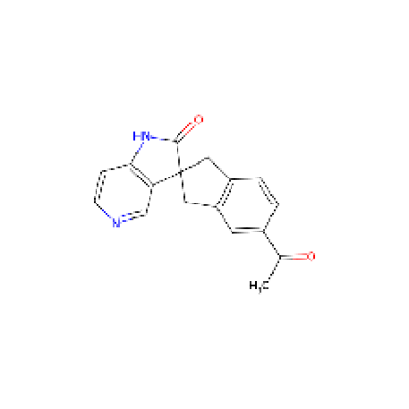 CC(=O)c1ccc2c(c1)CC1(C2)C(=O)Nc2ccncc21